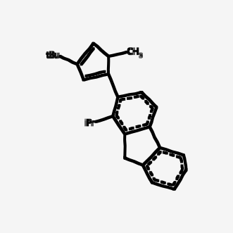 CC1C=C(C(C)(C)C)C=C1c1ccc2c(c1C(C)C)Cc1ccccc1-2